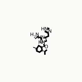 CC(C)[C@@H]1CC[C@@H](C)C[C@H]1C(=O)NC[C@H](Cc1c[nH]cn1)NC(=O)[C@@H](C)N